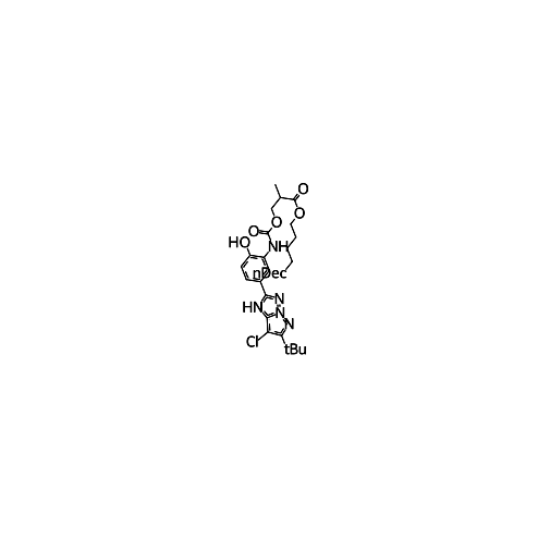 CCCCCCCCCCCCCCOC(=O)C(C)COC(=O)Nc1cc(-c2nn3nc(C(C)(C)C)c(Cl)c3[nH]2)ccc1O